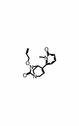 C=CCON1C(=O)N2CC=C(c3cccc(=O)n3C)C1C2